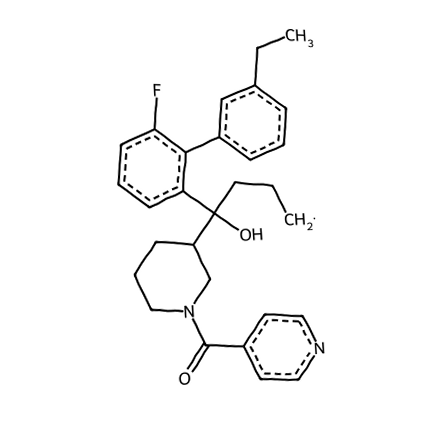 [CH2]CCC(O)(c1cccc(F)c1-c1cccc(CC)c1)C1CCCN(C(=O)c2ccncc2)C1